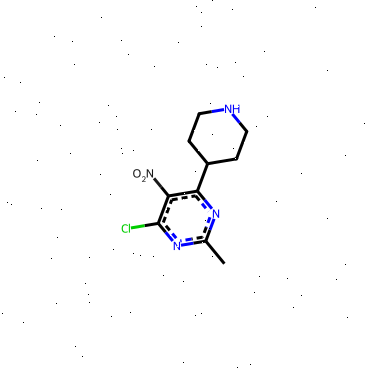 Cc1nc(Cl)c([N+](=O)[O-])c(C2CCNCC2)n1